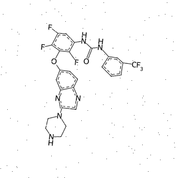 O=C(Nc1cccc(C(F)(F)F)c1)Nc1cc(F)c(F)c(Oc2ccc3ncc(N4CCNCC4)nc3c2)c1F